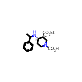 CCOC(=O)[C@@H]1CN(C(=O)O)CC[C@@H]1NC(C)c1ccccc1